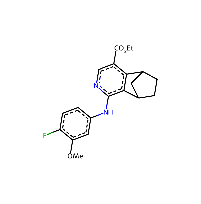 CCOC(=O)c1cnc(Nc2ccc(F)c(OC)c2)c2c1C1CCC2C1